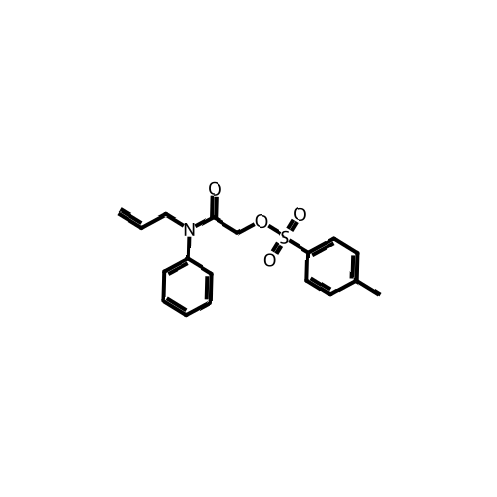 C=CCN(C(=O)COS(=O)(=O)c1ccc(C)cc1)c1ccccc1